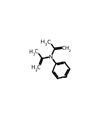 C=C(C)N(C(=C)C)c1ccccc1